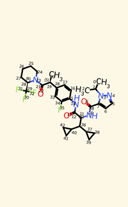 CC(C)n1nccc1C(=O)N[C@H](C(=O)Nc1ccc([C@H](C)C(=O)N2CCCC[C@@H]2C(F)(F)F)cc1F)C(C1CC1)C1CC1